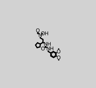 COc1ccc(CNC(=O)NC(CCN(O)C=O)C2CCCC2)cc1OC